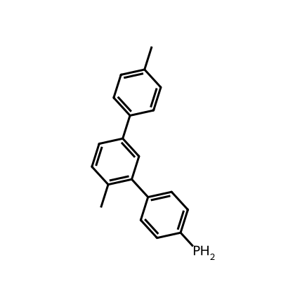 Cc1ccc(-c2ccc(C)c(-c3ccc(P)cc3)c2)cc1